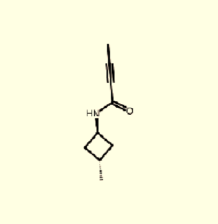 CC#CC(=O)N[C@H]1C[C@H](C)C1